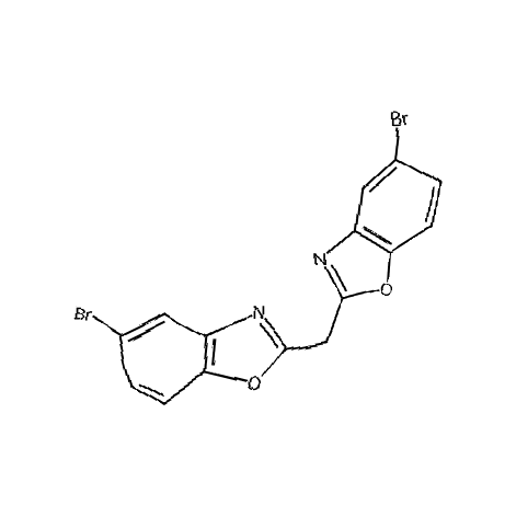 Brc1ccc2oc(Cc3nc4cc(Br)ccc4o3)nc2c1